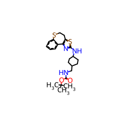 CC(C)(C)OC(=O)NCC1CCC(Nc2nc3c(s2)CCSc2ccccc2-3)CC1